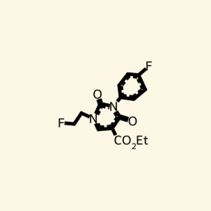 CCOC(=O)c1cn(CCF)c(=O)n(-c2ccc(F)cc2)c1=O